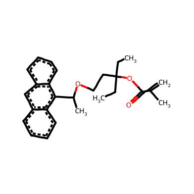 C=C(C)C(=O)OC(CC)(CC)CCOC(C)c1c2ccccc2cc2ccccc12